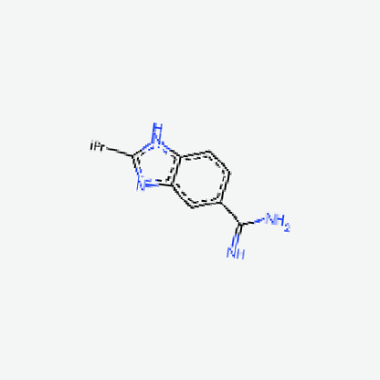 CC(C)c1nc2cc(C(=N)N)ccc2[nH]1